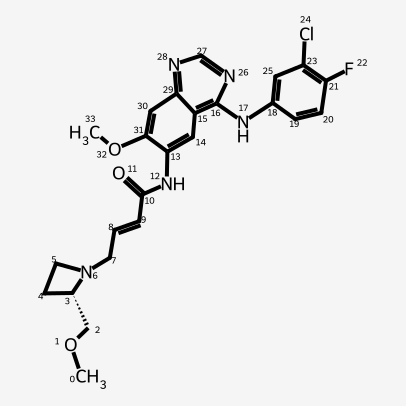 COC[C@@H]1CCN1CC=CC(=O)Nc1cc2c(Nc3ccc(F)c(Cl)c3)ncnc2cc1OC